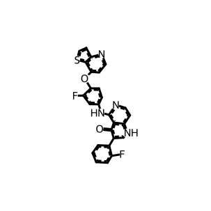 O=c1c(-c2ccccc2F)c[nH]c2ccnc(Nc3ccc(Oc4ccnc5ccsc45)c(F)c3)c12